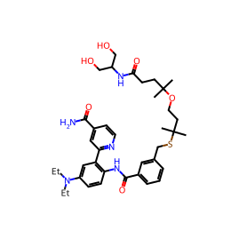 CCN(CC)c1ccc(NC(=O)c2cccc(CSC(C)(C)CCOC(C)(C)CCC(=O)NC(CO)CO)c2)c(-c2cc(C(N)=O)ccn2)c1